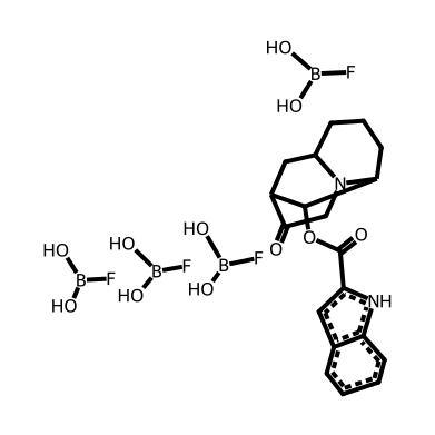 O=C(OC1C2CC3CCCC1N3CC2=O)c1cc2ccccc2[nH]1.OB(O)F.OB(O)F.OB(O)F.OB(O)F